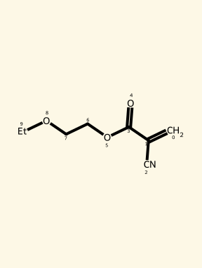 C=C(C#N)C(=O)OCCOCC